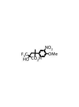 COc1ccc(C(C)(C)CC(O)(C(=O)O)C(F)(F)F)cc1[N+](=O)[O-]